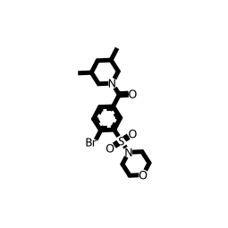 CC1CC(C)CN(C(=O)c2ccc(Br)c(S(=O)(=O)N3CCOCC3)c2)C1